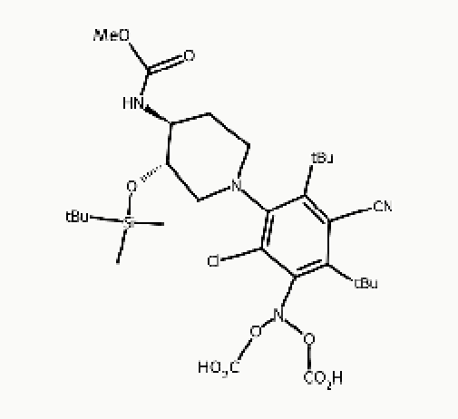 COC(=O)N[C@H]1CCN(c2c(Cl)c(N(OC(=O)O)OC(=O)O)c(C(C)(C)C)c(C#N)c2C(C)(C)C)C[C@@H]1O[Si](C)(C)C(C)(C)C